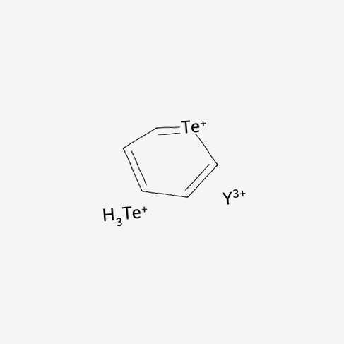 [TeH3+].[Y+3].c1cc[te+]cc1